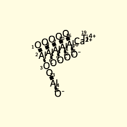 [Ca+2].[O]=[Al][O-].[O]=[Al][O-].[O]=[Al][O-].[O]=[Al][O-].[O]=[Al][O-].[O]=[Al][O-].[Ti+4]